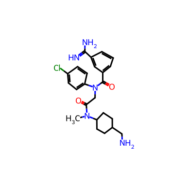 CN(C(=O)CN(C(=O)c1cccc(C(=N)N)c1)c1ccc(Cl)cc1)C1CCC(CN)CC1